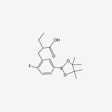 CCC(Cc1cc(B2OC(C)(C)C(C)(C)O2)ccc1F)C(=O)O